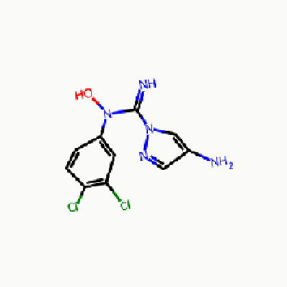 N=C(N(O)c1ccc(Cl)c(Cl)c1)n1cc(N)cn1